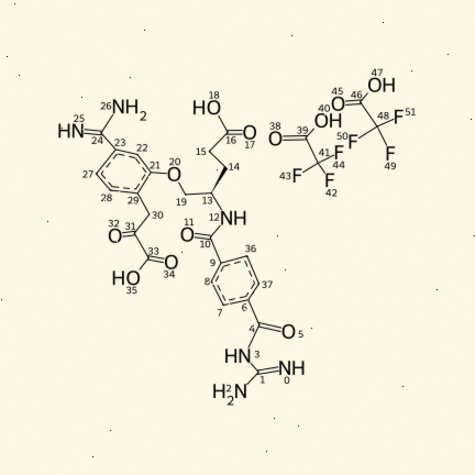 N=C(N)NC(=O)c1ccc(C(=O)N[C@H](CCC(=O)O)COc2cc(C(=N)N)ccc2CC(=O)C(=O)O)cc1.O=C(O)C(F)(F)F.O=C(O)C(F)(F)F